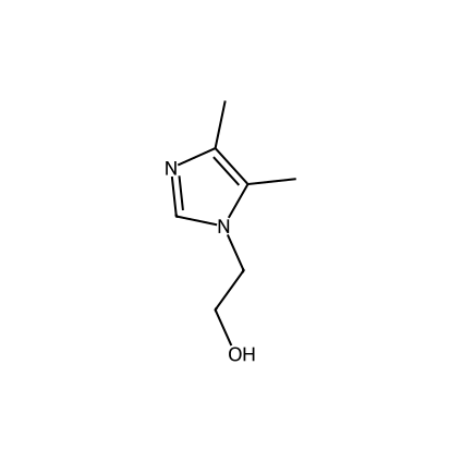 Cc1ncn(CCO)c1C